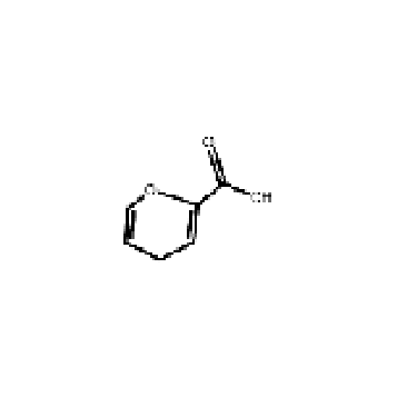 O=C(O)C1=CCC=CO1